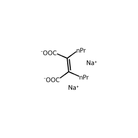 CCC/C(C(=O)[O-])=C(\CCC)C(=O)[O-].[Na+].[Na+]